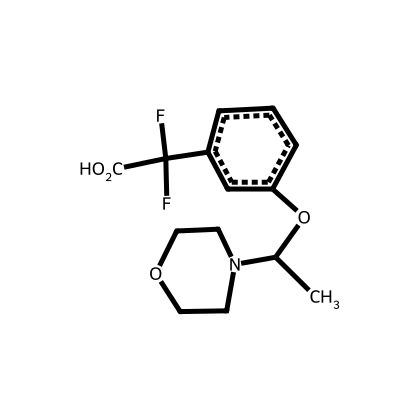 CC(Oc1cccc(C(F)(F)C(=O)O)c1)N1CCOCC1